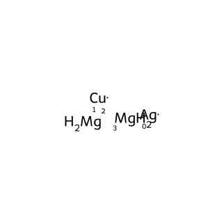 [Ag].[Cu].[MgH2].[MgH2]